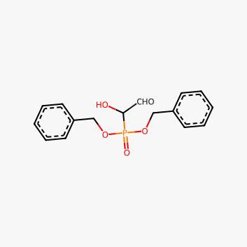 O=CC(O)P(=O)(OCc1ccccc1)OCc1ccccc1